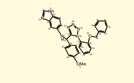 COc1ccc(C(Nc2ccc3[nH]cnc3c2)c2nnnn2-c2ccccc2OCc2ccccc2)cc1